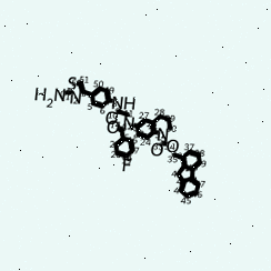 Nc1nc(-c2ccc(NC(=O)CN(C(=O)c3ccc(F)cc3)c3ccc4c(c3)CCCN4C(=O)OCc3cccc4c3Cc3ccccc3-4)cc2)cs1